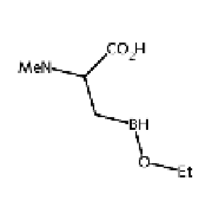 CCOBCC(NC)C(=O)O